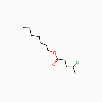 CCCCCCCOC(=O)CCC(C)Cl